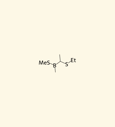 CCSC(C)B(C)SC